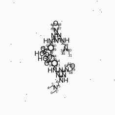 CCN(CC)CCNc1nc(Nc2ccc(/C=C/c3ccc(Nc4nc(NCCN(CC)CC)nc(N5CCOCC5)n4)cc3S(=O)(=O)O)c(S(=O)(=O)O)c2)nc(N2CCOCC2)n1